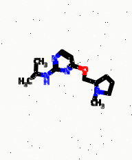 CC(C)Nc1nccc(OCC2CCCN2C)n1